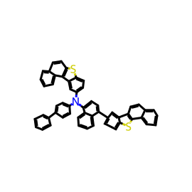 c1ccc(-c2ccc(N(c3ccc4sc5ccc6ccccc6c5c4c3)c3ccc(-c4ccc5sc6c7ccccc7ccc6c5c4)c4ccccc34)cc2)cc1